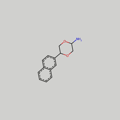 NC1COC(c2ccc3ccccc3c2)CO1